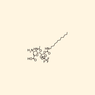 CCCCCCCCCCCCNC(=O)OC(OC(=O)C(F)(F)F)C(O)C[C@H]1OC(C(=O)O)=C[C@H](N)[C@H]1NC(C)=O